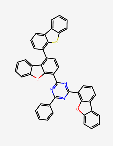 c1ccc(-c2nc(-c3cccc4c3oc3ccccc34)nc(-c3ccc(-c4cccc5c4sc4ccccc45)c4c3oc3ccccc34)n2)cc1